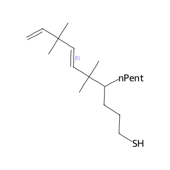 C=CC(C)(C)/C=C/C(C)(C)C(CCCS)CCCCC